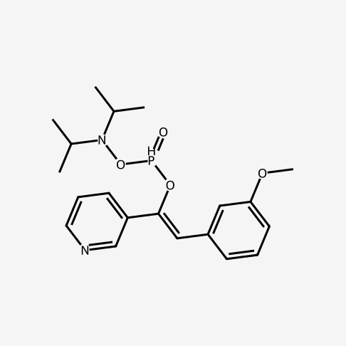 COc1cccc(C=C(O[PH](=O)ON(C(C)C)C(C)C)c2cccnc2)c1